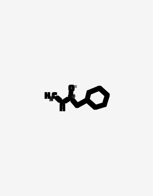 CN[S+]([O-])CC1CCCCC1